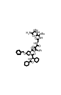 CCCCC(NC(=O)C(CCCC)NC(=O)CNC(=O)C(=O)C(CCC)NC(=O)[C@@H]1C[C@@H](OCc2ccccc2)CN1C(=O)C(NC(=O)C1CCCCC1)C1CCCCC1)C(N)=O